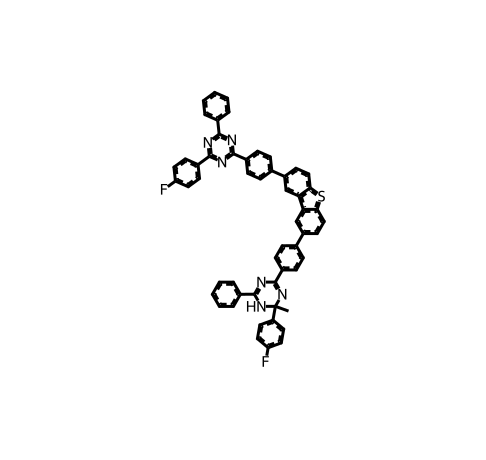 CC1(c2ccc(F)cc2)N=C(c2ccc(-c3ccc4sc5ccc(-c6ccc(-c7nc(-c8ccccc8)nc(-c8ccc(F)cc8)n7)cc6)cc5c4c3)cc2)N=C(c2ccccc2)N1